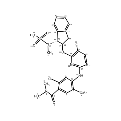 COc1cc(C(=O)N(C)C)c(Cl)cc1Nc1ncc(Cl)c(O[C@@H]2Cc3ccccc3[C@H]2N(C)S(C)(=O)=O)n1